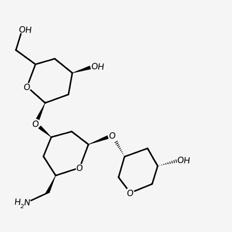 NC[C@H]1C[C@@H](O[C@@H]2C[C@H](O)CC(CO)O2)C[C@@H](O[C@H]2COC[C@@H](O)C2)O1